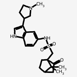 CN1CCC(c2c[nH]c3ccc(NS(=O)(=O)CC45CCC(CC4=O)C5(C)C)cc23)C1